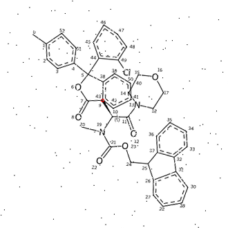 Cc1ccc(C(OC(=O)C[C@@H](C(=O)N2CCOCC2)N(C)C(=O)OCC2c3ccccc3-c3ccccc32)(c2ccccc2)c2ccccc2Cl)cc1